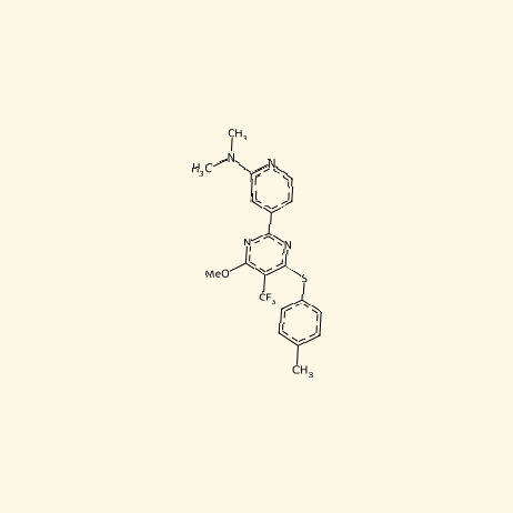 COc1nc(-c2ccnc(N(C)C)c2)nc(Sc2ccc(C)cc2)c1C(F)(F)F